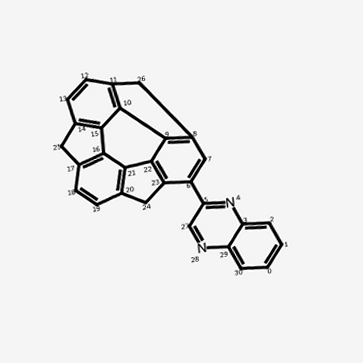 c1ccc2nc(-c3cc4c5c6c(ccc7c6c6c(ccc8c6c5c3C8)C7)C4)cnc2c1